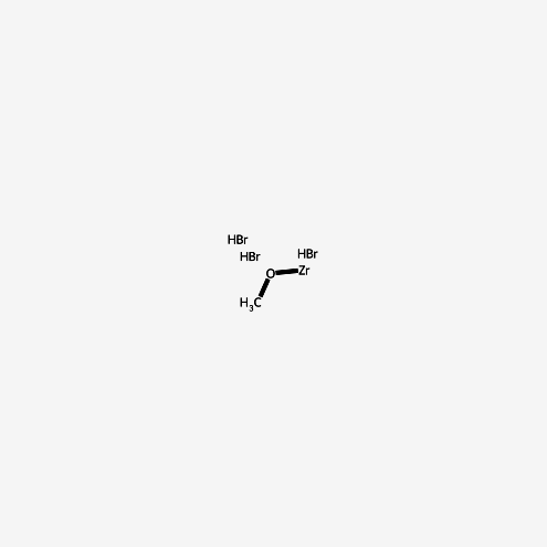 Br.Br.Br.C[O][Zr]